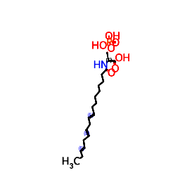 CC/C=C/C/C=C/C/C=C/CCCCCCCC(=O)N[C@@H](COP(=O)(O)O)C(=O)O